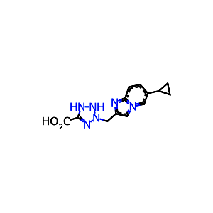 O=C(O)C1=NN(Cc2cn3cc(C4CC4)ccc3n2)NN1